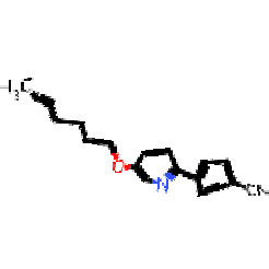 CC=CCCCCOc1ccc(-c2ccc(C#N)cc2)nc1